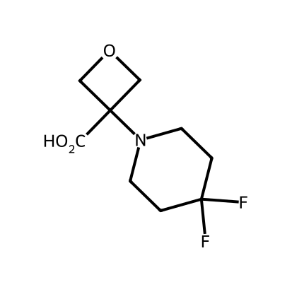 O=C(O)C1(N2CCC(F)(F)CC2)COC1